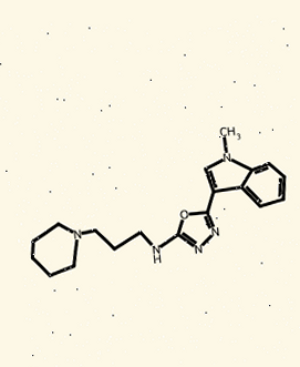 Cn1cc(-c2nnc(NCCCN3CCCCC3)o2)c2ccccc21